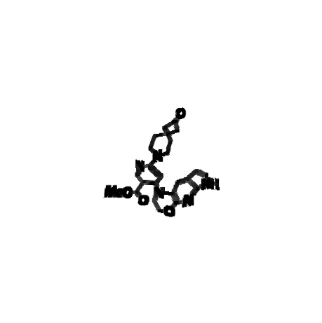 COC(=O)c1cnc(N2CCC3(CC2)CC(=O)C3)cc1N1CCOc2nc3[nH]ccc3cc21